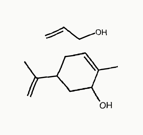 C=C(C)C1CC=C(C)C(O)C1.C=CCO